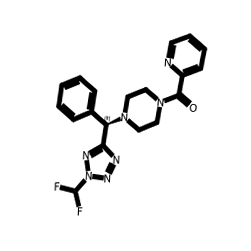 O=C(c1ccccn1)N1CCN([C@H](c2ccccc2)c2nnn(C(F)F)n2)CC1